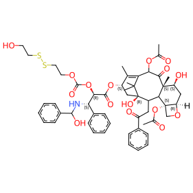 CC(=O)OC1C(=O)[C@@]2(C)C(C(CC(=O)c3ccccc3)[C@]3(O)C[C@H](OC(=O)[C@H](OC(=O)OCCSSCCO)[C@@H](NC(O)c4ccccc4)c4ccccc4)C(C)=C1C3(C)C)[C@]1(OC(C)=O)CO[C@@H]1C[C@@H]2O